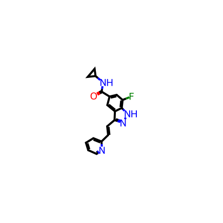 O=C(NC1CC1)c1cc(F)c2[nH]nc(/C=C/c3ccccn3)c2c1